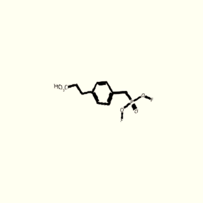 O=C(O)CCc1ccc(CP(=O)(OF)OF)cc1